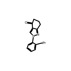 CC(C)c1ccccc1-n1cc2c(n1)CCCC2=O